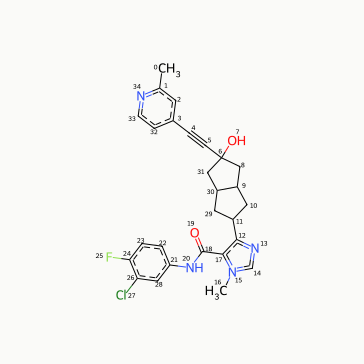 Cc1cc(C#CC2(O)CC3CC(c4ncn(C)c4C(=O)Nc4ccc(F)c(Cl)c4)CC3C2)ccn1